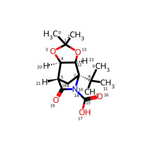 CC1(C)O[C@@H]2[C@@H]3C[C@@](C(C)(C)C)([C@@H]2O1)N(C(=O)O)C3=O